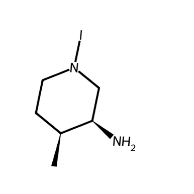 C[C@H]1CCN(I)C[C@H]1N